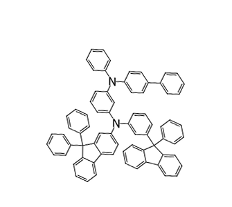 c1ccc(-c2ccc(N(c3ccccc3)c3cccc(N(c4cccc(C5(c6ccccc6)c6ccccc6-c6ccccc65)c4)c4ccc5c(c4)C(c4ccccc4)(c4ccccc4)c4ccccc4-5)c3)cc2)cc1